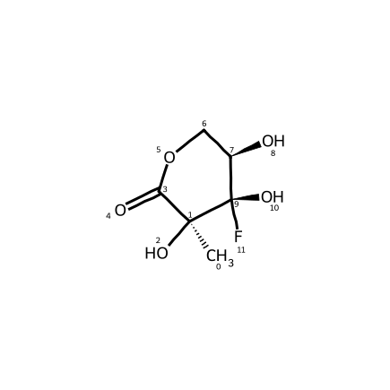 C[C@]1(O)C(=O)OC[C@@H](O)[C@]1(O)F